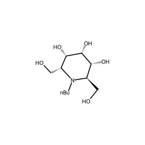 CCCCN1[C@H](CO)[C@H](O)[C@H](O)[C@H](O)[C@H]1CO